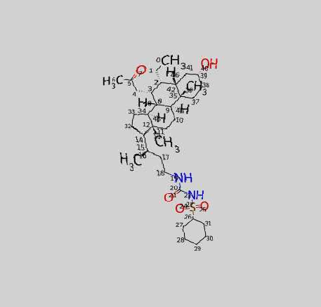 CC[C@H]1[C@@H](CC(C)=O)[C@@H]2[C@H](CC[C@]3(C)[C@@H]([C@H](C)CCNC(=O)NS(=O)(=O)C4CCCCC4)CC[C@@H]23)[C@@]2(C)CC[C@@H](O)C[C@@H]12